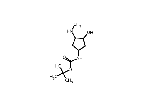 CNC1CC(NC(=O)OC(C)(C)C)CC1O